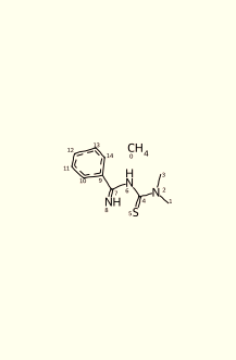 C.CN(C)C(=S)NC(=N)c1ccccc1